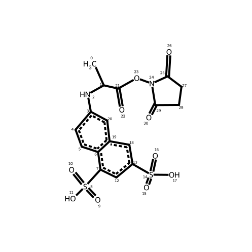 CC(Nc1ccc2c(S(=O)(=O)O)cc(S(=O)(=O)O)cc2c1)C(=O)ON1C(=O)CCC1=O